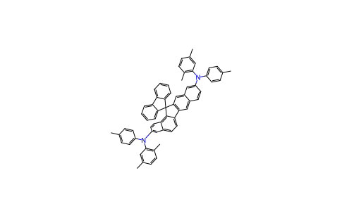 Cc1ccc(N(c2ccc3cc4c(cc3c2)C2(c3ccccc3-c3ccccc32)c2c-4ccc3cc(N(c4ccc(C)cc4)c4cc(C)ccc4C)ccc23)c2cc(C)ccc2C)cc1